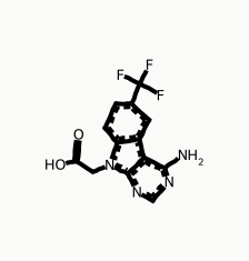 Nc1ncnc2c1c1cc(C(F)(F)F)ccc1n2CC(=O)O